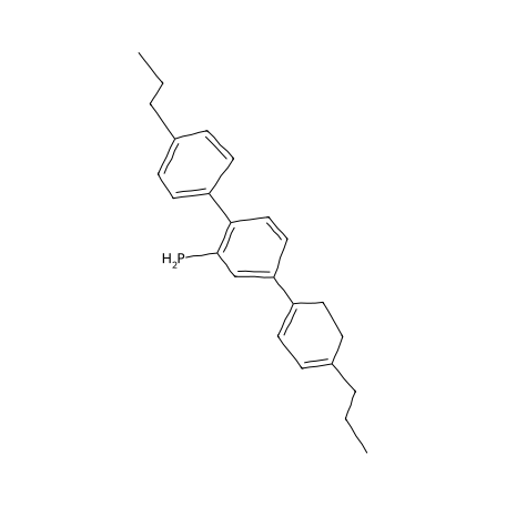 CCCC1=CC=C(c2ccc(-c3ccc(CCC)cc3)c(P)c2)CC1